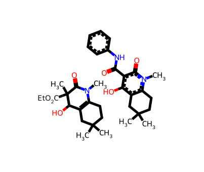 CCOC(=O)C1(C)C(=O)N(C)C2=C(CC(C)(C)CC2)C1O.Cn1c2c(c(O)c(C(=O)Nc3ccccc3)c1=O)CC(C)(C)CC2